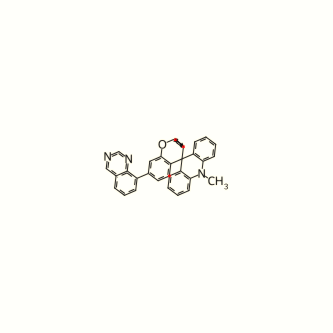 CN1c2ccccc2C2(c3ccccc3Oc3cc(-c4cccc5cncnc45)ccc32)c2ccccc21